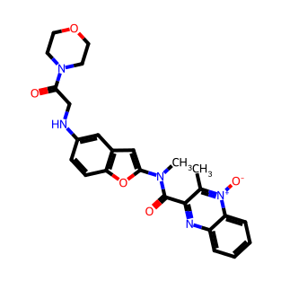 Cc1c(C(=O)N(C)c2cc3cc(NCC(=O)N4CCOCC4)ccc3o2)nc2ccccc2[n+]1[O-]